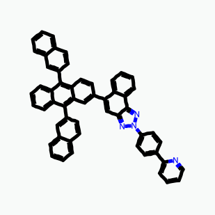 c1ccc(-c2ccc(-n3nc4cc(-c5ccc6c(-c7ccc8ccccc8c7)c7ccccc7c(-c7ccc8ccccc8c7)c6c5)c5ccccc5c4n3)cc2)nc1